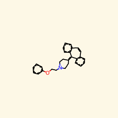 C1=Cc2ccccc2C(=C2CCN(CCOc3ccccc3)CC2)c2ccccc21